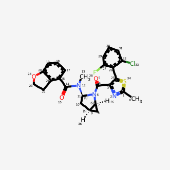 Cc1nc(C(=O)N2[C@H]3C[C@H]3C[C@H]2N(C)C(=O)c2cccc3c2CCO3)c(-c2c(F)cccc2Cl)s1